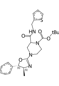 C[C@@H]1N=C(N2CCN(C(=O)OC(C)(C)C)C(C(=O)NCc3cccs3)C2)O[C@H]1c1ccccc1